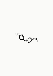 CC1CCN(Cc2ccc(C(F)(F)F)cc2)CC1